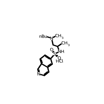 CCCCN(C)CC(C)NS(=O)(=O)c1ccc2cnccc2c1.Cl